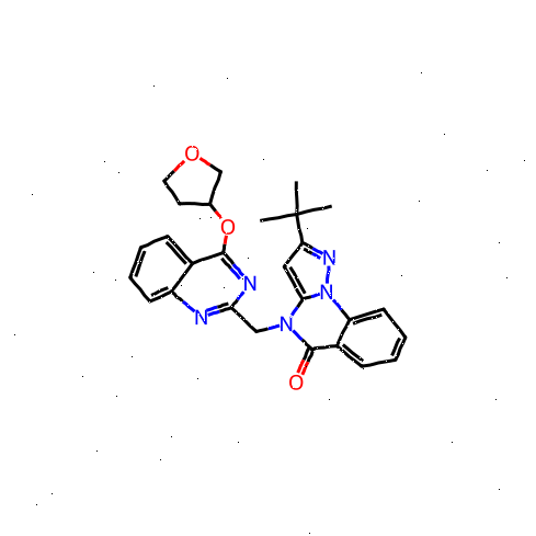 CC(C)(C)c1cc2n(Cc3nc(OC4CCOC4)c4ccccc4n3)c(=O)c3ccccc3n2n1